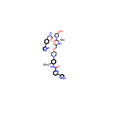 COc1cc(N2CC[C@@H](OCC(=O)N[C@H](C(=O)N3C[C@H](O)C[C@H]3C(=O)N[C@@H](C)c3ccc(-c4ccnn4C)cc3)C(C)(C)C)[C@@H](C)C2)ccc1NC(=O)c1cccc(-c2cc[nH]n2)n1